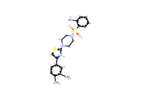 Cc1ccc(-c2csc(N3CCN(S(=O)(=O)c4ccccc4C#N)CC3)n2)cc1C